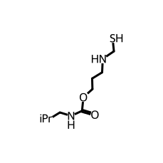 CC(C)CNC(=O)OCCCNCS